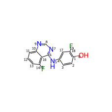 Oc1ccc(Nc2ncnc3cccc(F)c23)cc1F